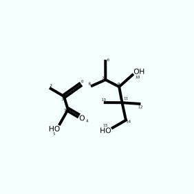 C=C(C)C(=O)O.CC(C)C(O)C(C)(C)CO